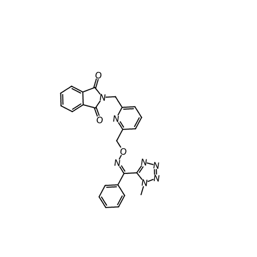 Cn1nnnc1/C(=N\OCc1cccc(CN2C(=O)c3ccccc3C2=O)n1)c1ccccc1